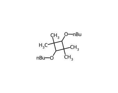 CCCCOC1C(C)(C)C(OCCCC)C1(C)C